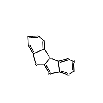 c1ccc2c(c1)sc1nc3ncncc3n12